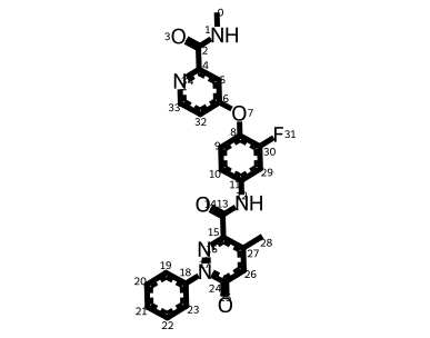 CNC(=O)c1cc(Oc2ccc(NC(=O)c3nn(-c4ccccc4)c(=O)cc3C)cc2F)ccn1